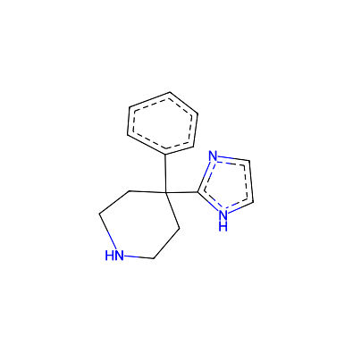 c1ccc(C2(c3ncc[nH]3)CCNCC2)cc1